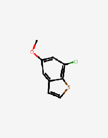 COc1cc(Cl)c2sc[c]c2c1